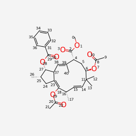 COC(=O)[C@@H]1C[C@@H](OC(C)=O)C(C)(C)/C=C/[C@H](C)/C(OC(C)=O)=C2/C[C@H](C)[C@H](OC(=O)c3ccccc3)C2/C=C/1C